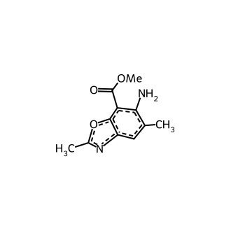 COC(=O)c1c(N)c(C)cc2nc(C)oc12